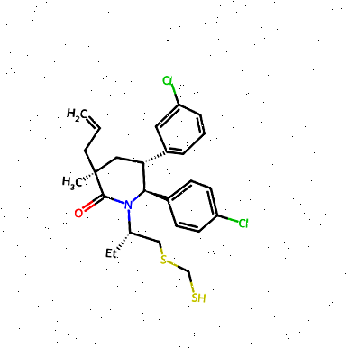 C=CC[C@@]1(C)C[C@H](c2cccc(Cl)c2)[C@@H](c2ccc(Cl)cc2)N([C@@H](CC)CSCS)C1=O